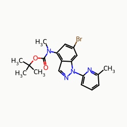 Cc1cccc(-n2ncc3c(N(C)C(=O)OC(C)(C)C)cc(Br)cc32)n1